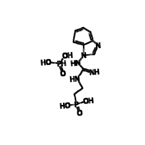 N=C(NCCP(=O)(O)O)Nn1cnc2ccccc21.O=[PH](O)O